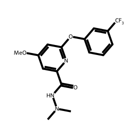 COc1cc(Oc2cccc(C(F)(F)F)c2)nc(C(=O)NN(C)C)c1